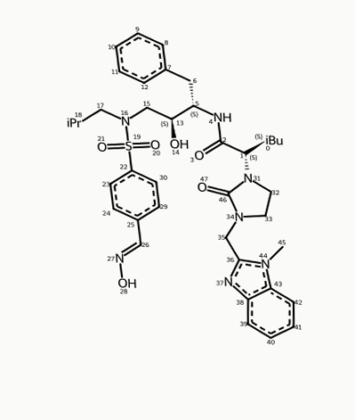 CC[C@H](C)[C@@H](C(=O)N[C@@H](Cc1ccccc1)[C@@H](O)CN(CC(C)C)S(=O)(=O)c1ccc(C=NO)cc1)N1CCN(Cc2nc3ccccc3n2C)C1=O